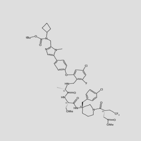 COC[C@H](NC(=O)[C@H](C)NCc1c(F)cc(Cl)cc1Oc1ccc(-c2cnc(CN(C(=O)OC(C)(C)C)C3CCC3)n2C)cc1)C(=O)N[C@@]1(Cc2ccc(Cl)cc2)CCCN(C(=O)[C@@H](CC(=O)OC)CC(F)(F)F)C1